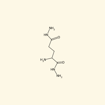 NNC(=O)CCC(N)C(=O)NN